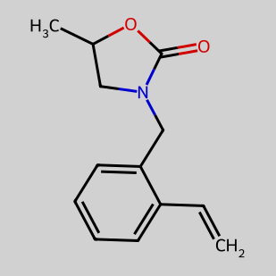 C=Cc1ccccc1CN1CC(C)OC1=O